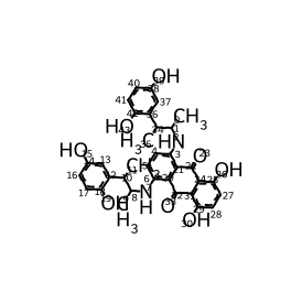 CC(Nc1ccc(NC(C)C(C)c2cc(O)ccc2O)c2c1C(=O)c1c(O)ccc(O)c1C2=O)C(C)c1cc(O)ccc1O